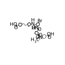 CCN(C1CCC(C(=O)O)CC1)S(=O)(=O)c1cccc(C(=O)Nc2ccc(Br)cc2C(=O)Nc2ccc(CCc3ccc(C(=O)O)cc3)cc2)c1